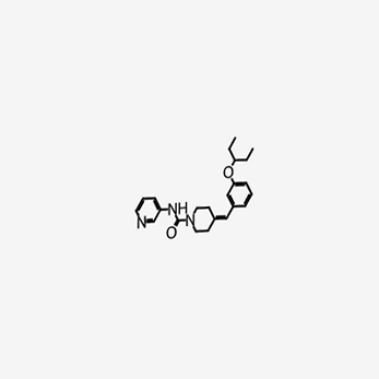 CCC(CC)Oc1cccc(C=C2CCN(C(=O)Nc3cccnc3)CC2)c1